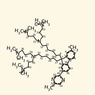 Cc1ccc2c(c1)C(CCCCCCN(CCCN(C)C)CCCN(C)C)(CCCCCCN(CCCN(C)C)CCCN(C)C)c1cc(-c3cnc(C)cn3)ccc1-2